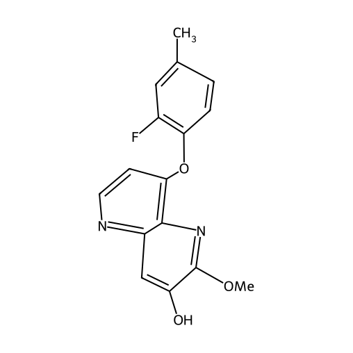 COc1nc2c(Oc3ccc(C)cc3F)ccnc2cc1O